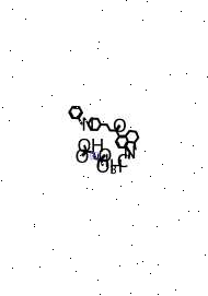 CCN1CC2CCCc3c(C(=O)CCC4CCN(Cc5ccccc5)CC4)ccc1c32.O=C(O)/C=C/C(=O)O